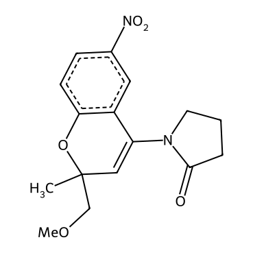 COCC1(C)C=C(N2CCCC2=O)c2cc([N+](=O)[O-])ccc2O1